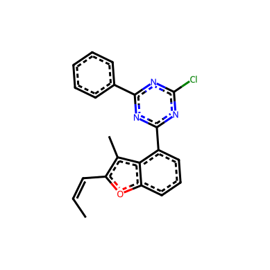 C/C=C\c1oc2cccc(-c3nc(Cl)nc(-c4ccccc4)n3)c2c1C